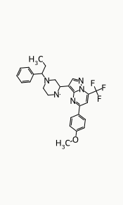 CCC(c1ccccc1)N1CC[N]C(c2cnn3c(C(F)(F)F)cc(-c4ccc(OC)cc4)nc23)C1